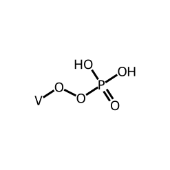 O=P(O)(O)O[O][V]